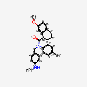 CCCNc1ccc(CN(C(=O)C2CCCc3ccc(OCC)cc32)c2ccc(C(C)C)cc2)cc1